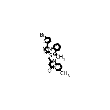 COc1ccccc1-n1c(SCc2cc(=O)n3cc(C)ccc3n2)nnc1-c1ccc(Br)s1